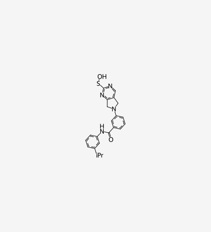 CC(C)c1cccc(NC(=O)c2cccc(N3Cc4cnc(SO)nc4C3)c2)c1